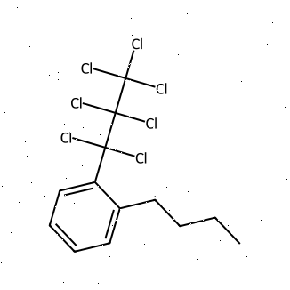 CCC[CH]c1ccccc1C(Cl)(Cl)C(Cl)(Cl)C(Cl)(Cl)Cl